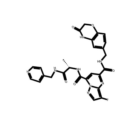 C[C@H](NC(=O)c1cc(C(=O)NCc2ccc3c(c2)NC(=O)CO3)nc2c(F)cnn12)C(=O)NCc1ccncc1